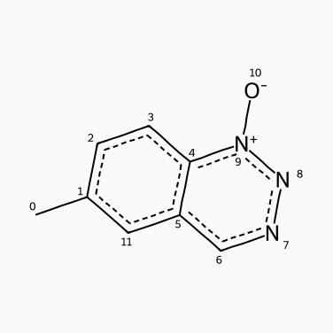 Cc1ccc2c(cnn[n+]2[O-])c1